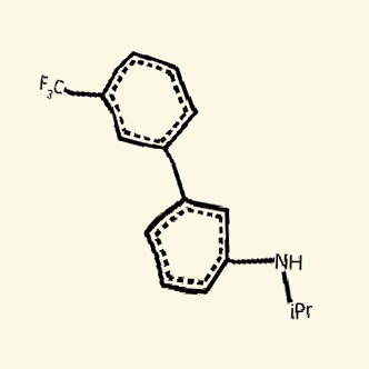 CC(C)Nc1cccc(-c2cccc(C(F)(F)F)c2)c1